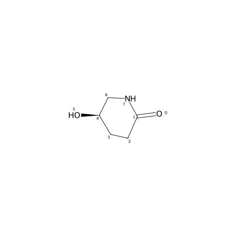 O=C1CC[C@@H](O)CN1